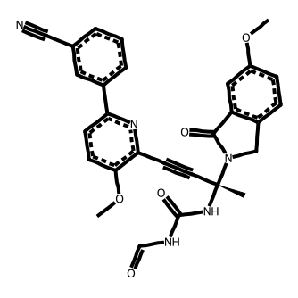 COc1ccc2c(c1)C(=O)N([C@@](C)(C#Cc1nc(-c3cccc(C#N)c3)ccc1OC)NC(=O)NC=O)C2